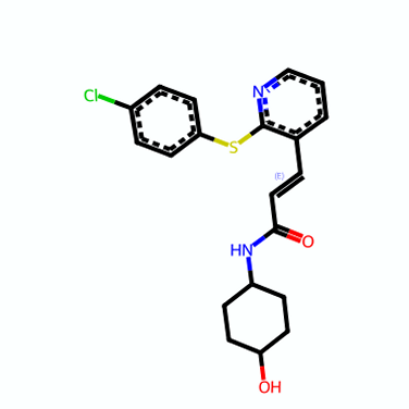 O=C(/C=C/c1cccnc1Sc1ccc(Cl)cc1)NC1CCC(O)CC1